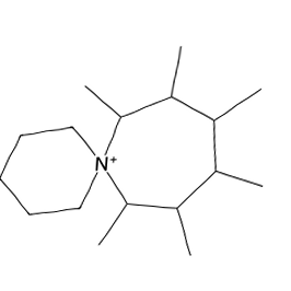 CC1C(C)C(C)C(C)[N+]2(CCCCC2)C(C)C1C